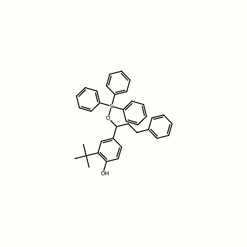 CC(C)(C)c1cc(C(CCc2ccccc2)O[Si](c2ccccc2)(c2ccccc2)c2ccccc2)ccc1O